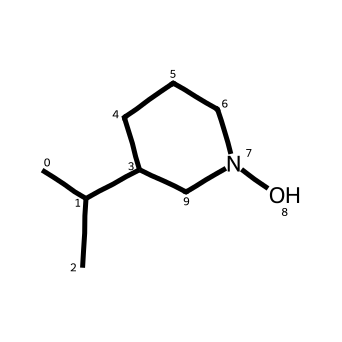 CC(C)C1CCCN(O)C1